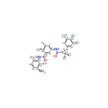 Cc1cc(NC(=O)C2[C@H](c3cc(Cl)c(Cl)c(Cl)c3)C2(Cl)Cl)cc(C(=O)Nc2c(F)ccc(N)c2F)c1Cl